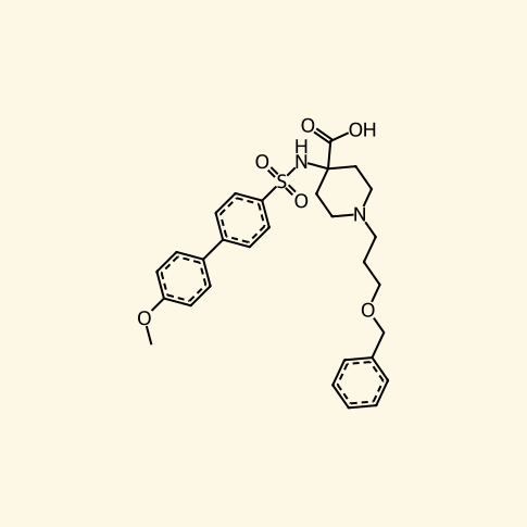 COc1ccc(-c2ccc(S(=O)(=O)NC3(C(=O)O)CCN(CCCOCc4ccccc4)CC3)cc2)cc1